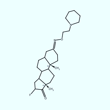 C[C@]12CCC(=NOCCN3CCCCC3)CC1CCC1C2CC[C@]2(C)C(=O)C(F)CC12